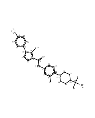 Cc1cc(NC(=O)c2cnn(-c3ccc(C(F)(F)F)cc3)c2I)cnc1N1CCC(C(C)(C)O)CC1